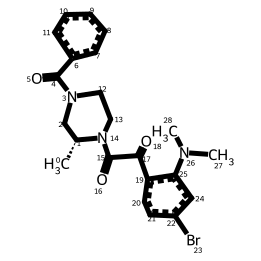 C[C@@H]1CN(C(=O)c2ccccc2)CCN1C(=O)C(=O)c1ccc(Br)cc1N(C)C